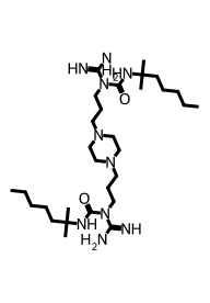 CCCCCC(C)(C)NC(=O)N(CCCN1CCN(CCCN(C(=N)N)C(=O)NC(C)(C)CCCCC)CC1)C(=N)N